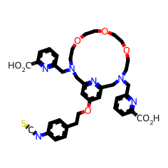 O=C(O)c1cccc(CN2CCOCCOCCOCCN(Cc3cccc(C(=O)O)n3)Cc3cc(OCCc4ccc(N=C=S)cc4)cc(n3)C2)n1